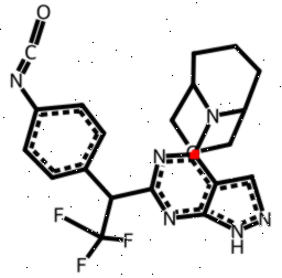 O=C=Nc1ccc(C(c2nc(N3C4CCCC3COC4)c3cn[nH]c3n2)C(F)(F)F)cc1